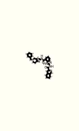 O=C(Nc1nc2cccc(C(=O)Nc3nc4c(s3)CN(Cc3ccccc3)CC4)c2[nH]1)c1cc2ccccc2cn1